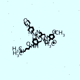 COc1cc(OC)c(Cl)c(N2Cc3cnc(Nc4ccc(N5CCOCC5)cn4)nc3N(Cc3cccc(NC(=O)/C=C/CN(C)C)c3)C2=O)c1